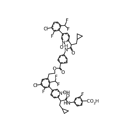 O=C(OCCc1cc(Cl)c(F)c(-c2ccc(C(CC3CC3)C(=O)Nc3ccc(C(=O)O)c(F)c3)[n+](O)c2)c1C(F)F)c1ccc(NC(=O)C(CC2CC2)c2ccc(-c3c(C(F)F)ccc(Cl)c3F)c[n+]2[O-])cc1